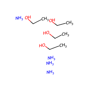 CCO.CCO.CCO.CCO.N.N.N.N